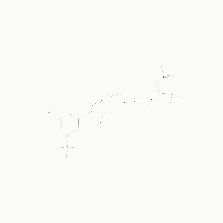 CC(C)(C)C(NC(=O)O)C1(F)CN(C(=O)/C=C\n2cnc(-c3cc(C(F)(F)F)cc(C(F)(F)F)c3)n2)C1